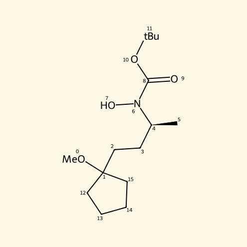 COC1(CC[C@H](C)N(O)C(=O)OC(C)(C)C)CCCC1